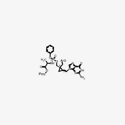 CCCC(C)OC(=O)C(C)N[P@](=O)(OC[C@]1(COC(C)=O)C/C1=C/n1cnc2c(=O)[nH]c(N)nc21)Oc1ccccc1